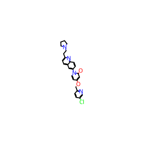 O=c1cc(OCc2ccc(Cl)cn2)ccn1-c1ccc2nc(CCN3CCCC3)ccc2c1